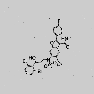 CNC(=O)c1c(-c2ccc(F)cc2)oc2cc(N(CCC(O)c3c(Cl)cccc3Br)S(C)(=O)=O)c(C3CC3)cc12